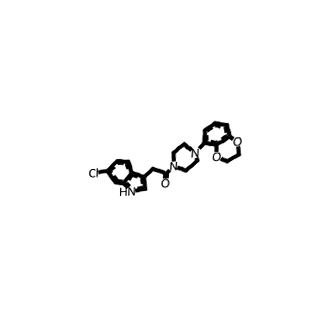 O=C(Cc1c[nH]c2cc(Cl)ccc12)N1CCN(c2cccc3c2OCCO3)CC1